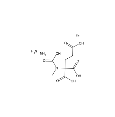 CN(C(=O)O)C(CCC(=O)O)(C(=O)O)C(=O)O.N.N.[Fe]